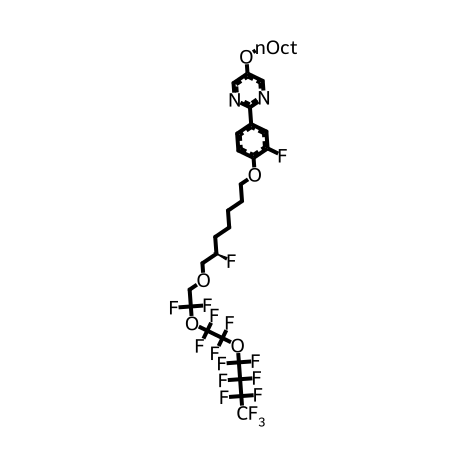 CCCCCCCCOc1cnc(-c2ccc(OCCCCC[C@@H](F)COCC(F)(F)OC(F)(F)C(F)(F)OC(F)(F)C(F)(F)C(F)(F)C(F)(F)F)c(F)c2)nc1